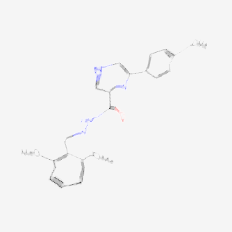 COc1ccc(-c2cncc(C(=O)NN=Cc3c(OC)cccc3OC)n2)cc1